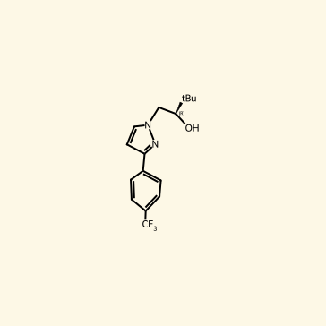 CC(C)(C)[C@@H](O)Cn1ccc(-c2ccc(C(F)(F)F)cc2)n1